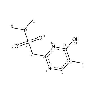 Cc1cnc(CS(=O)(=O)C(C)C)nc1O